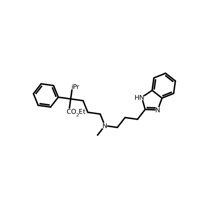 CCOC(=O)C(CCCN(C)CCCc1nc2ccccc2[nH]1)(c1ccccc1)C(C)C